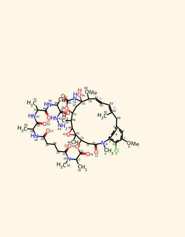 COc1cc2cc(c1Cl)N(C)C(=O)CC(OC(=O)C(C)N(C)C(=O)CCCC(=O)NC(C)C(=O)NC(C)C(=O)NC(C)C(=O)NN)C1(C)OC1C(C)C1CC(O)(NC(=O)O1)C(OC)/C=C/C=C(\C)C2